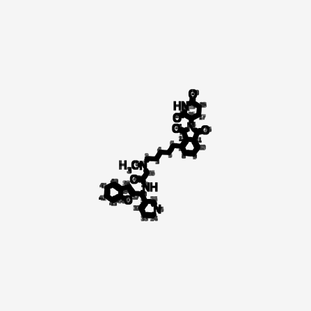 CN(CCCCCc1cccc2c1C(=O)N(C1CCC(=O)NC1=O)C2=O)CC(=O)NC(c1cccnc1)c1cc2ccccc2o1